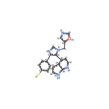 Fc1ccc(-c2ncn(Cc3cnco3)c2-c2ccnc3[nH]ccc23)cc1